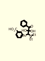 CCCCC(N(CC)CC)C(O)(O)C(=O)c1ccccc1.O=C(O)c1ccccc1